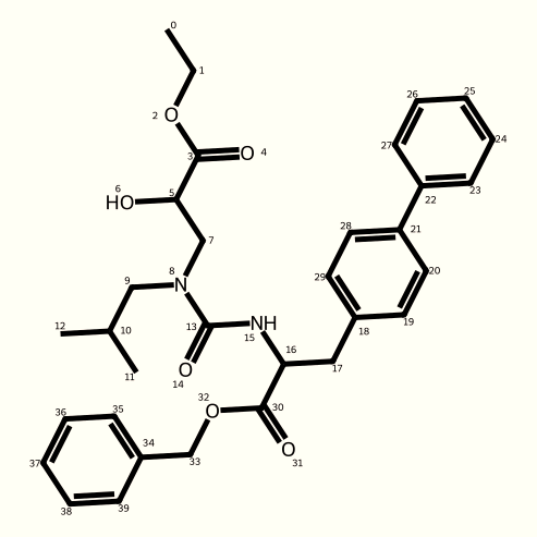 CCOC(=O)C(O)CN(CC(C)C)C(=O)NC(Cc1ccc(-c2ccccc2)cc1)C(=O)OCc1ccccc1